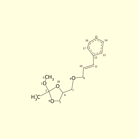 COC1(C)OCC(COC/C=C/c2ccccc2)O1